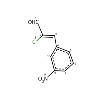 O=C/C(Cl)=C/c1cccc([N+](=O)[O-])c1